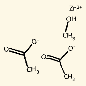 CC(=O)[O-].CC(=O)[O-].CO.[Zn+2]